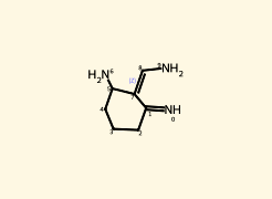 N=C1CCCC(N)/C1=C/N